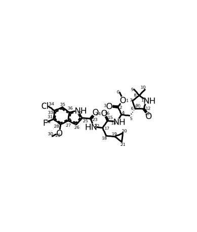 COC(=O)C(C[C@@H]1CC(C)(C)NC1=O)NC(=O)C(CC1CC1)NC(=O)c1cc2c(OC)c(F)c(Cl)cc2[nH]1